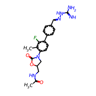 CC(=O)NCC1CN(c2ccc(-c3ccc(C=NNC(=N)N)cc3)c(F)c2C)C(=O)O1